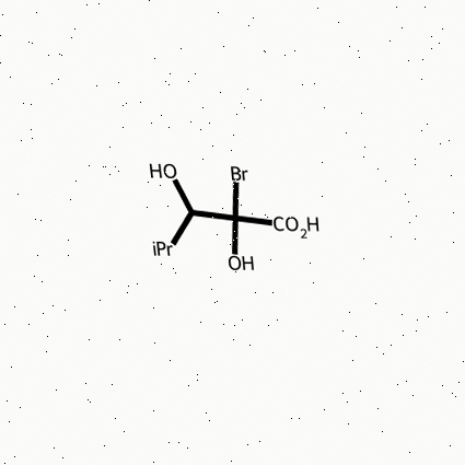 CC(C)C(O)C(O)(Br)C(=O)O